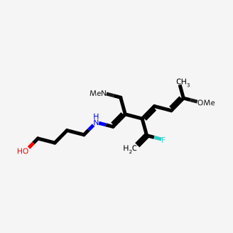 C=C(F)C(=C\C=C(/C)OC)/C(=C/NCCCCO)CNC